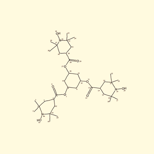 CC1(C)CC(C(=O)OC2CC(OC(=O)C3CC(C)(C)N(O)C(C)(C)C3)CC(OC(=O)C3CC(C)(C)N(O)C(C)(C)C3)C2)CC(C)(C)N1O